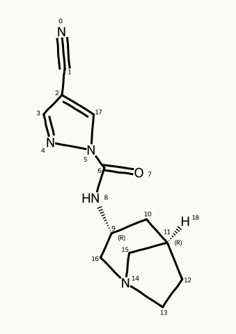 N#Cc1cnn(C(=O)N[C@@H]2C[C@H]3CCN(C3)C2)c1